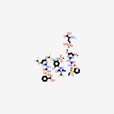 CCS(=O)(=O)c1cccnc1S(=O)(=O)NC(=O)Nc1nc(OC)cc(OC)n1.CP(=O)(O)CCC(N)C(=O)O.Cc1nn(-c2cc(NS(C)(=O)=O)c(Cl)cc2Cl)c(=O)n1C(F)F.O=C(Nc1nc(OC(F)F)cc(OC(F)F)n1)NS(=O)(=O)c1ccccc1C(=O)O